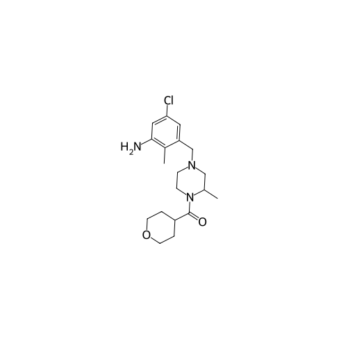 Cc1c(N)cc(Cl)cc1CN1CCN(C(=O)C2CCOCC2)C(C)C1